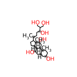 C[C@H](CC[C@H](O)C(CO)CO)C1CC[C@H]2[C@@H]3[C@H](O)C[C@H]4C[C@H](O)CC[C@]4(C)[C@H]3C[C@H](O)[C@]12C